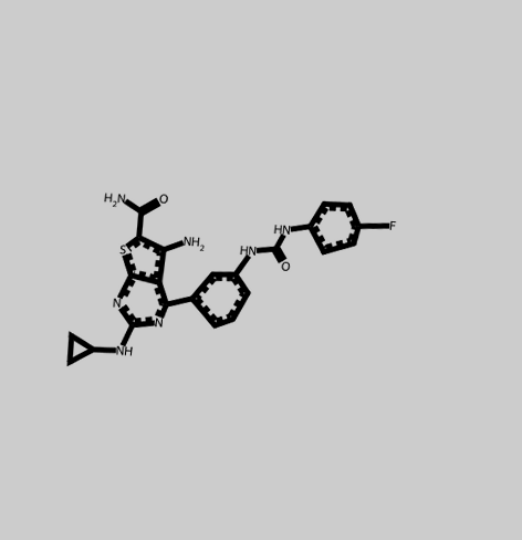 NC(=O)c1sc2nc(NC3CC3)nc(-c3cccc(NC(=O)Nc4ccc(F)cc4)c3)c2c1N